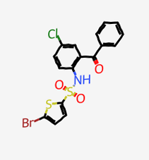 O=C(c1ccccc1)c1cc(Cl)ccc1NS(=O)(=O)c1ccc(Br)s1